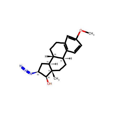 COc1ccc2c(c1)CC[C@@H]1[C@@H]2CC[C@]2(C)[C@@H](O)[C@@H](N=[N+]=[N-])C[C@@H]12